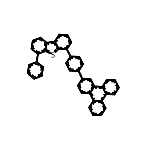 c1ccc(-c2cccc3c2sc2c(-c4ccc(-c5ccc6c7ccccc7c7ccccc7c6c5)cc4)cccc23)cc1